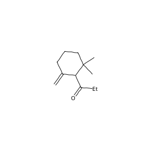 C=C1CCCC(C)(C)C1C(=O)CC